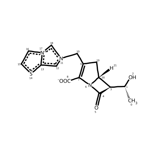 C[C@@H](O)[C@H]1C(=O)N2C(C(=O)[O-])=C(Cn3cc4scc[n+]4c3)C[C@H]12